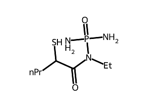 CCCC(S)C(=O)N(CC)P(N)(N)=O